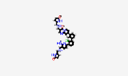 CNc1nc(-c2cccc(-c3cccc(-c4ccn5c(=O)c(CNCC6CCC(=O)N6)cnc5c4)c3C)c2Cl)ccc1CNCC1CCC(=O)N1